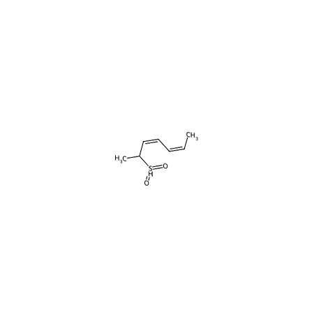 C/C=C\C=C/C(C)[SH](=O)=O